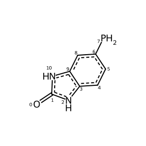 O=c1[nH]c2ccc(P)cc2[nH]1